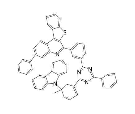 CC1(n2c3ccccc3c3ccccc32)C=CC=C(c2nc(-c3ccccc3)nc(-c3cccc(-c4nc5cc(-c6ccccc6)ccc5c5c4sc4ccccc45)c3)n2)C1